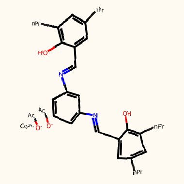 CC(=O)[O-].CC(=O)[O-].CCCc1cc(C=Nc2cccc(N=Cc3cc(CCC)cc(CCC)c3O)c2)c(O)c(CCC)c1.[Co+2]